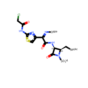 CON=C(C(=O)N[C@@H]1C(=O)N(S(=O)(=O)O)[C@@H]1CNC(C)=O)c1csc(NC(=O)CCl)n1